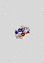 CCS(=O)(=O)c1ccc(OCC2CC2)c(-c2cn(C)c(=O)c3ccc(-n4cc(F)cn4)cc23)c1